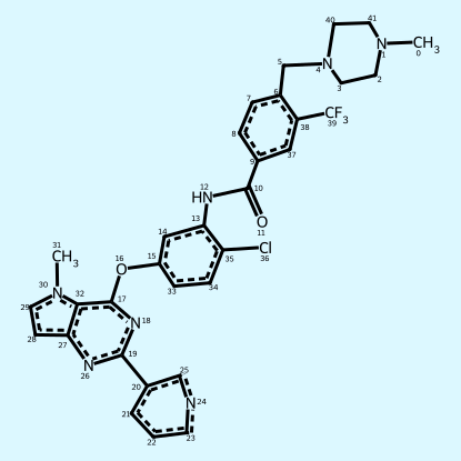 CN1CCN(Cc2ccc(C(=O)Nc3cc(Oc4nc(-c5cccnc5)nc5ccn(C)c45)ccc3Cl)cc2C(F)(F)F)CC1